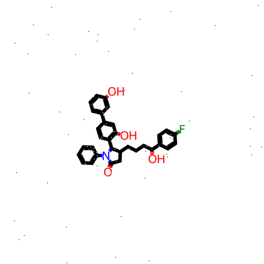 O=C1CC(CCCC(O)c2ccc(F)cc2)C(c2ccc(-c3cccc(O)c3)cc2O)N1c1ccccc1